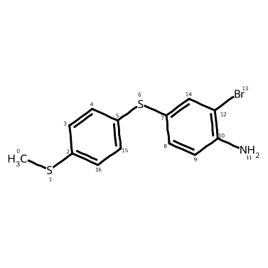 CSc1ccc(Sc2ccc(N)c(Br)c2)cc1